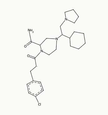 NC(=O)C1CN(C(CN2CCCC2)C2CCCCC2)CCN1C(=O)[CH]Cc1ccc(Cl)cc1